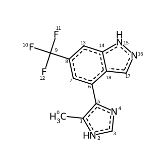 Cc1[nH]cnc1-c1cc(C(F)(F)F)cc2[nH]ncc12